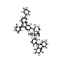 C1=CN2N=C(c3cccc(-n4c5ccccc5c5ccccc54)c3)NC2C(c2ccc3c(c2)c2cc(-c4ccccc4)ccc2n3-c2ccccc2)=C1